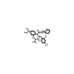 CCN(CC)c1ccc2c(c1)OC(C(C)C)C(=O)N(Cc1ccc(Cl)cc1F)C2C(=O)NCc1ccccc1